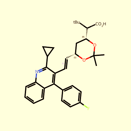 CC1(C)O[C@H](/C=C/c2c(C3CC3)nc3ccccc3c2-c2ccc(F)cc2)C[C@H](C(C(=O)O)C(C)(C)C)O1